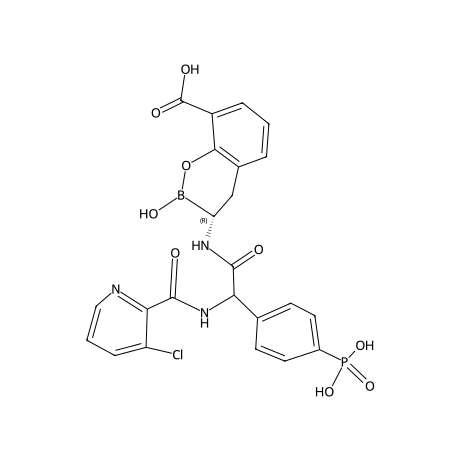 O=C(O)c1cccc2c1OB(O)[C@@H](NC(=O)C(NC(=O)c1ncccc1Cl)c1ccc(P(=O)(O)O)cc1)C2